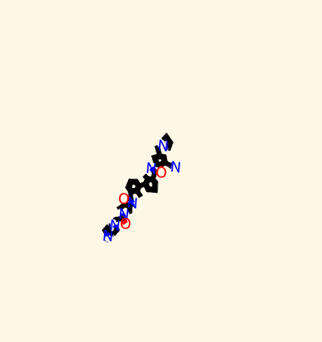 Cc1c(-c2nc3c(o2)CN(C(=O)CN2CC4CC2CN4C)C3)cccc1-c1cccc(-c2nc3cc(CN4CCCC4)cc(C#N)c3o2)c1C